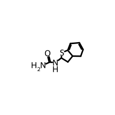 NC(=O)NC1CC2CC=CC=C2S1